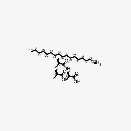 C=C(C)C(=O)O.C=C(C)C(=O)O.C=C(C)C(=O)O.CCCCCCCCCCCCCCCC[SiH3]